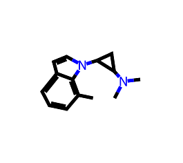 Cc1cccc2ccn(C3CC3N(C)C)c12